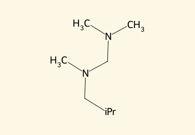 CC(C)CN(C)CN(C)C